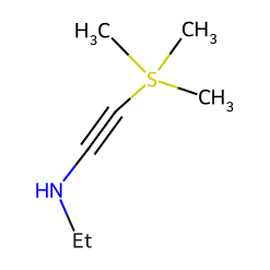 CCNC#CS(C)(C)C